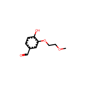 COCCOc1cc(C=O)ccc1O